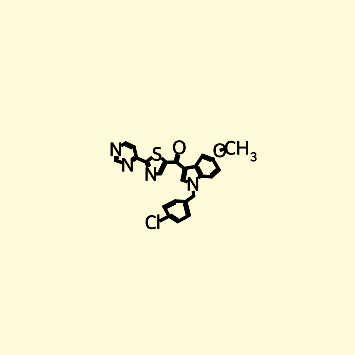 COc1ccc2c(c1)c(C(=O)c1cnc(-c3ccncn3)s1)cn2Cc1ccc(Cl)cc1